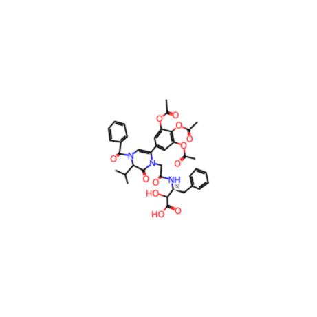 CC(=O)Oc1cc(C2=CN(C(=O)c3ccccc3)C(C(C)C)C(=O)N2CC(=O)N[C@@H](Cc2ccccc2)C(O)C(=O)O)cc(OC(C)=O)c1OC(C)=O